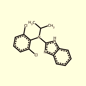 CC(C)N(c1nc2ccccc2[nH]1)c1c(Cl)cccc1Cl